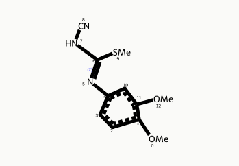 COc1ccc(/N=C(/NC#N)SC)cc1OC